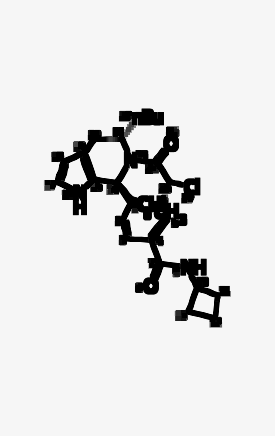 C=C(/C=C\C(=C/C)C(=O)NC1CCC1)[C@H]1c2[nH]ccc2C[C@H](CCCC)N1C(=O)CCl